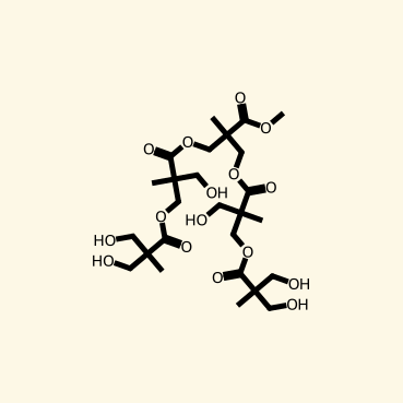 COC(=O)C(C)(COC(=O)C(C)(CO)COC(=O)C(C)(CO)CO)COC(=O)C(C)(CO)COC(=O)C(C)(CO)CO